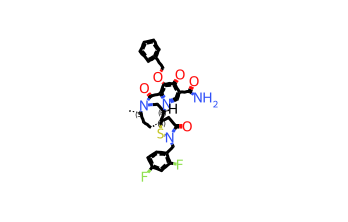 C[C@H]1CC[C@@]2(CC(=O)N(Cc3ccc(F)cc3F)S2)[C@H]2CN1C(=O)c1c(OCc3ccccc3)c(=O)c(C(N)=O)cn12